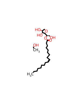 CCCCCCCC/C=C\CCCCCCCC(=O)O[C@H](CO)[C@H]1OC[C@H](O)[C@H]1O.CCO